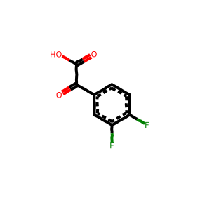 O=C(O)C(=O)c1ccc(F)c(F)c1